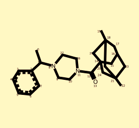 CC(c1ccccc1)N1CCN(C(=O)C23CC4CC(C)(CC(C)(C4)C2)C3)CC1